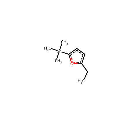 CCc1cc[c]([Sn]([CH3])([CH3])[CH3])o1